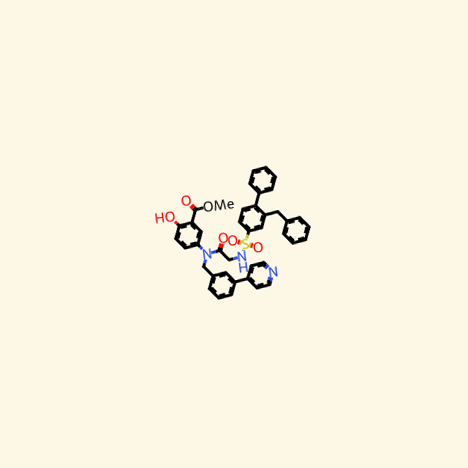 COC(=O)c1cc(N(Cc2cccc(-c3ccncc3)c2)C(=O)CNS(=O)(=O)c2ccc(-c3ccccc3)c(Cc3ccccc3)c2)ccc1O